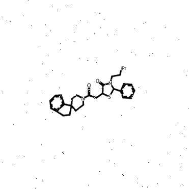 CC(C)CCN1C(=O)C(CC(=O)N2CCC3(CCc4ccccc43)CC2)SC1c1ccccc1